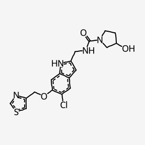 O=C(NCc1cc2cc(Cl)c(OCc3cscn3)cc2[nH]1)N1CCC(O)C1